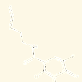 O=C=NCCNC(=O)n1cc(F)c(=O)[nH]c1=O